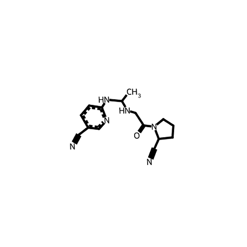 CC(NCC(=O)N1CCCC1C#N)Nc1ccc(C#N)cn1